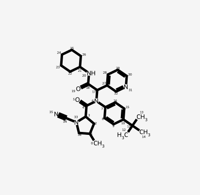 CC1CC(C(=O)N(c2ccc(C(C)(C)C)cc2)C(C(=O)NC2CCCCC2)c2cccnc2)N(C#N)C1